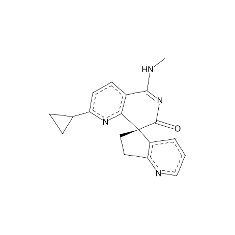 CNC1=NC(=O)[C@@]2(CCc3ncccc32)c2nc(C3CC3)ccc21